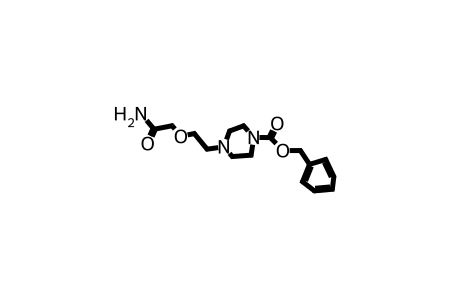 NC(=O)COCCN1CCN(C(=O)OCc2ccccc2)CC1